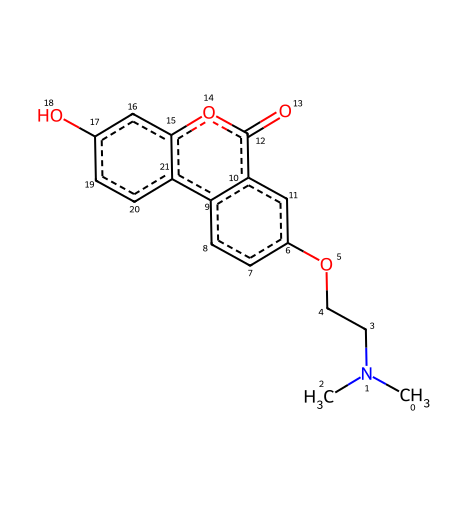 CN(C)CCOc1ccc2c(c1)c(=O)oc1cc(O)ccc12